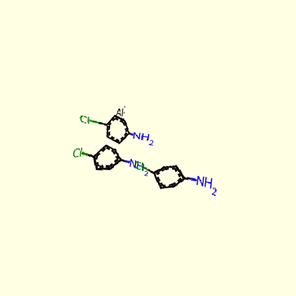 Nc1ccc(Cl)cc1.Nc1ccc(Cl)cc1.Nc1ccc(Cl)cc1.[Al]